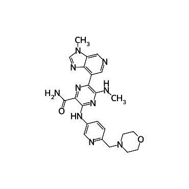 CNc1nc(Nc2ccc(CN3CCOCC3)nc2)c(C(N)=O)nc1-c1cncc2c1ncn2C